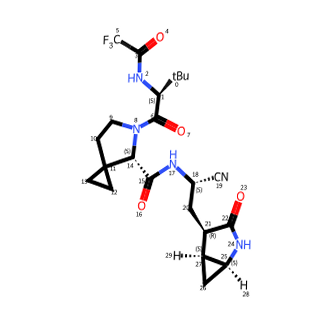 CC(C)(C)[C@H](NC(=O)C(F)(F)F)C(=O)N1CCC2(CC2)[C@H]1C(=O)N[C@H](C#N)C[C@H]1C(=O)N[C@H]2C[C@H]21